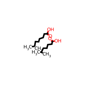 CC(C)CCCCC(=O)O.CC(C)CCCCCC(=O)O